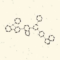 CC1(c2ccccc2)c2ccccc2-c2ccc(-c3ccc(-c4cc(-c5ccc(-c6cccc7ccccc67)cc5)nc(-c5ccccc5)n4)c4ccccc34)cc21